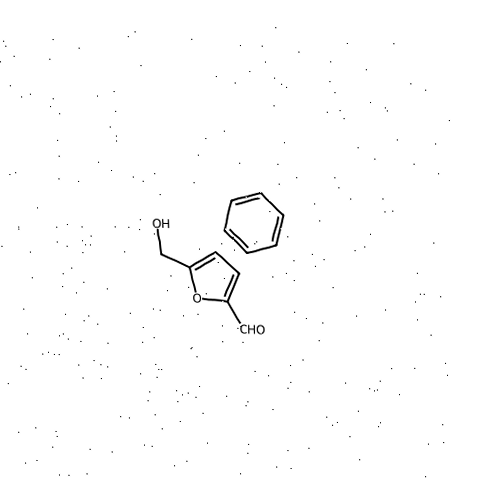 O=Cc1ccc(CO)o1.c1ccccc1